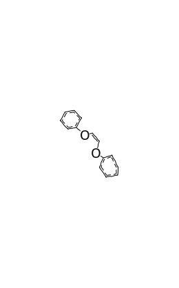 C(=C/Oc1ccccc1)/Oc1ccccc1